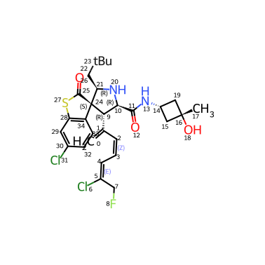 C=C(/C=C\C=C(\Cl)CF)[C@H]1[C@H](C(=O)N[C@H]2C[C@@](C)(O)C2)N[C@H](CC(C)(C)C)[C@]12C(=O)Sc1cc(Cl)ccc12